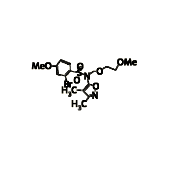 COCCOCN(c1onc(C)c1C)S(=O)(=O)c1ccc(OC)cc1Br